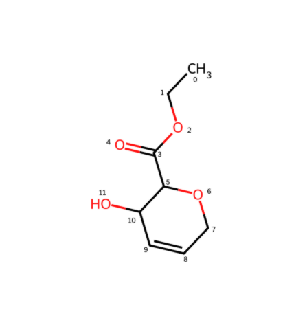 CCOC(=O)C1OCC=CC1O